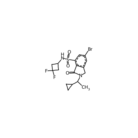 CC(C1CC1)N1Cc2cc(Br)cc(S(=O)(=O)NC3CC(F)(F)C3)c2C1=O